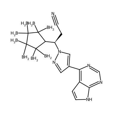 BC1(B)C([C@@H](CC#N)n2cc(-c3ncnc4[nH]ccc34)cn2)C(B)(B)C(B)(B)C1(B)B